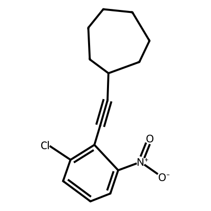 O=[N+]([O-])c1cccc(Cl)c1C#CC1CCCCCC1